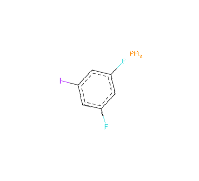 Fc1cc(F)cc(I)c1.P